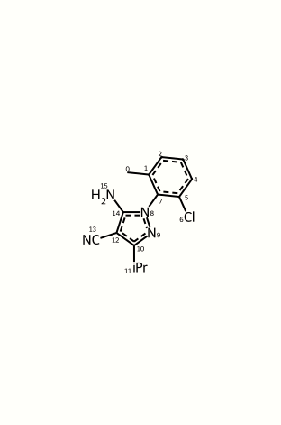 Cc1cccc(Cl)c1-n1nc(C(C)C)c(C#N)c1N